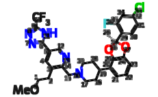 COCCc1cc(-c2nnc(C(F)(F)F)[nH]2)cnc1CN1CCC(c2cccc3c2O[C@@](C)(c2ccc(Cl)cc2F)O3)CC1